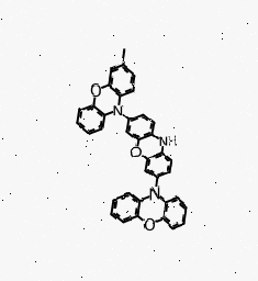 Cc1ccc2c(c1)Oc1ccccc1N2c1ccc2c(c1)Oc1cc(N3c4ccccc4Oc4ccccc43)ccc1N2